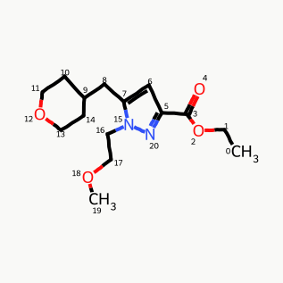 CCOC(=O)c1cc(CC2CCOCC2)n(CCOC)n1